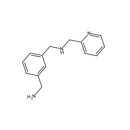 NCc1cccc(CNCc2ccccn2)c1